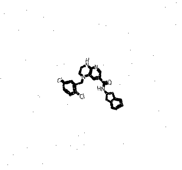 O=C(NC1Cc2ccccc2C1)c1cnc2c(c1)N(Cc1cc(Cl)ccc1Cl)CCN2